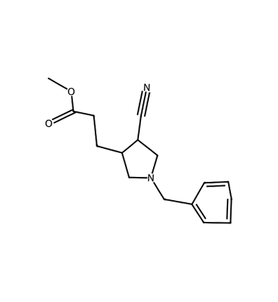 COC(=O)CCC1CN(Cc2ccccc2)CC1C#N